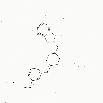 COc1cccc(OC2CCN(CC3Cc4cccnc4C3)CC2)c1